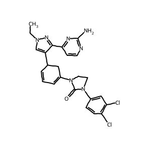 CCn1cc(C2C=CC=C(N3CCN(c4ccc(Cl)c(Cl)c4)C3=O)C2)c(-c2ccnc(N)n2)n1